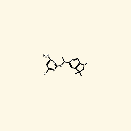 CC(Sc1nc(N)cc(Cl)n1)c1cc2c(cn1)N(C)CC2(C)C